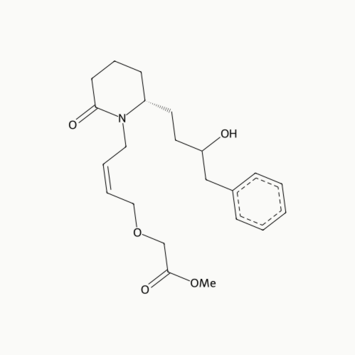 COC(=O)COC/C=C\CN1C(=O)CCC[C@@H]1CCC(O)Cc1ccccc1